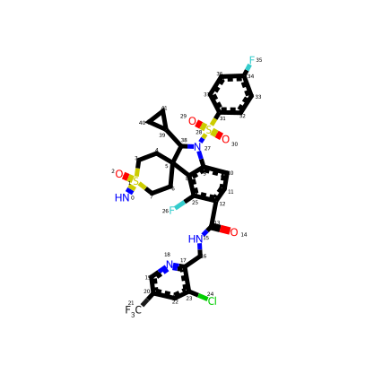 N=S1(=O)CCC2(CC1)c1c(ccc(C(=O)NCc3ncc(C(F)(F)F)cc3Cl)c1F)N(S(=O)(=O)c1ccc(F)cc1)C2C1CC1